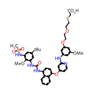 COc1cc(Nc2cc(Oc3ccc(NC(=O)Nc4cc(C(C)(C)C)cc(NS(C)(=O)=O)c4OC)c4ccccc34)ccn2)cc(OCCOCCSCC(=O)O)c1